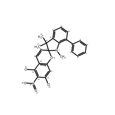 CN1c2c(-c3ccccc3)cccc2C(C)(C)C12C=Cc1c(cc(Cl)c([N+](=O)[O-])c1Cl)O2